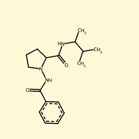 CC(C)C(C)NC(=O)C1CCCN1NC(=O)c1ccccc1